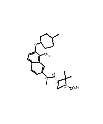 CC1CCC(Oc2ccc3ccc([C@H](C)N[C@H]4C[C@@H](C(=O)O)C4(C)C)cc3c2C(F)(F)F)CC1